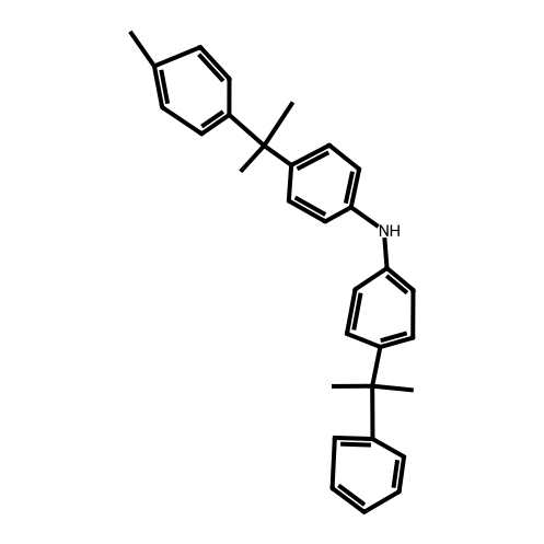 Cc1ccc(C(C)(C)c2ccc(Nc3ccc(C(C)(C)c4ccccc4)cc3)cc2)cc1